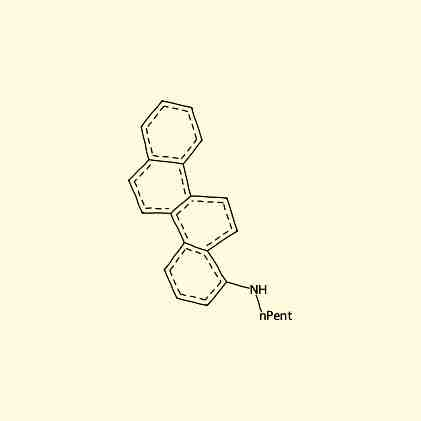 CCCCCNc1cccc2c1ccc1c3ccccc3ccc21